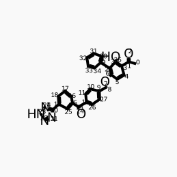 CC(=O)c1ccc(OCc2ccc(C(=O)c3cccc(-c4nn[nH]n4)c3)cc2)c(-c2ccccc2)c1O